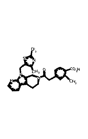 Cc1cc(CC(=O)N2CCc3c(n(Cc4sc(C(F)(F)F)nc4C)c4ncccc34)C2)ccc1C(=O)O